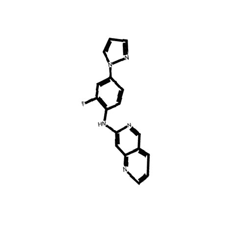 Fc1cc(-n2cccn2)ccc1Nc1cc2n[c]ccc2cn1